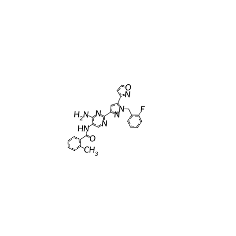 Cc1ccccc1C(=O)Nc1cnc(-c2cc(-c3ccon3)n(Cc3ccccc3F)n2)nc1N